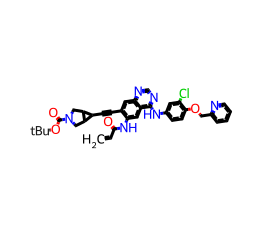 C=CC(=O)Nc1cc2c(Nc3ccc(OCc4ccccn4)c(Cl)c3)ncnc2cc1C#CC1C2CN(C(=O)OC(C)(C)C)CC12